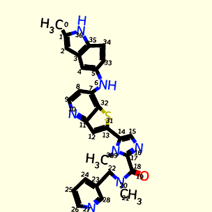 Cc1cc2cc(Nc3ccnc4cc(-c5cnc(C(=O)N(C)Cc6cccnc6)n5C)sc34)ccc2[nH]1